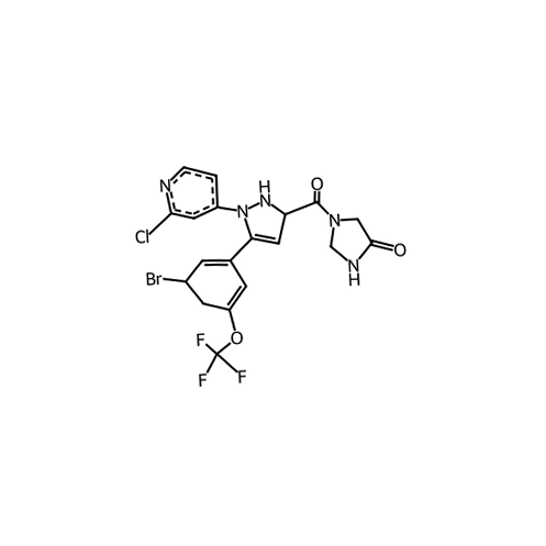 O=C1CN(C(=O)C2C=C(C3=CC(Br)CC(OC(F)(F)F)=C3)N(c3ccnc(Cl)c3)N2)CN1